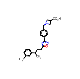 Cc1cccc(C(C)CCc2nc(-c3ccc(CN4CC(C(=O)O)C4)cc3)no2)c1